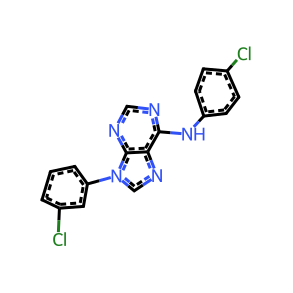 Clc1ccc(Nc2ncnc3c2ncn3-c2cccc(Cl)c2)cc1